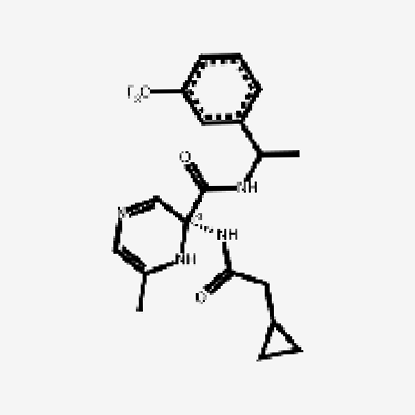 CC1=CN=C[C@@](NC(=O)CC2CC2)(C(=O)NC(C)c2cccc(C(F)(F)F)c2)N1